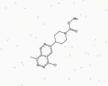 Cc1nnc(Cl)c2cc(C3CCN(C(=O)OC(C)(C)C)CC3)ncc12